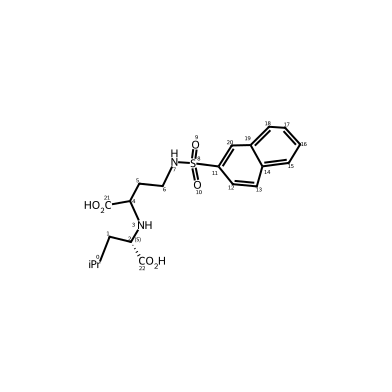 CC(C)C[C@H](NC(CCNS(=O)(=O)c1ccc2ccccc2c1)C(=O)O)C(=O)O